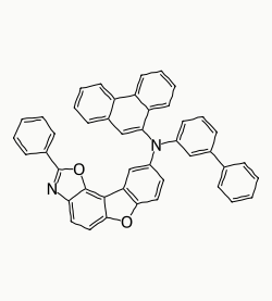 c1ccc(-c2cccc(N(c3ccc4oc5ccc6nc(-c7ccccc7)oc6c5c4c3)c3cc4ccccc4c4ccccc34)c2)cc1